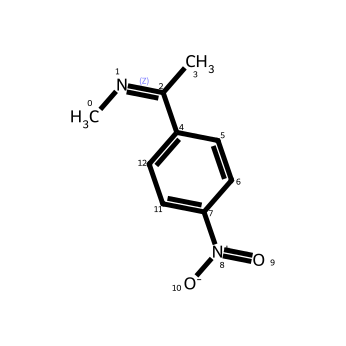 C/N=C(/C)c1ccc([N+](=O)[O-])cc1